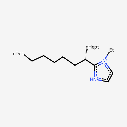 CCCCCCCCCCCCCCC[C@H](CCCCCCC)c1[nH]cc[n+]1CC